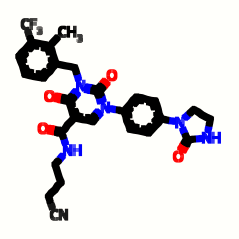 Cc1c(Cn2c(=O)c(C(=O)NCCCC#N)cn(-c3ccc(N4CCNC4=O)cc3)c2=O)cccc1C(F)(F)F